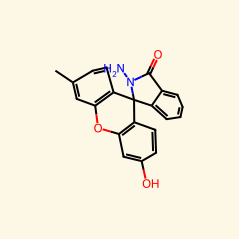 Cc1ccc2c(c1)Oc1cc(O)ccc1C21c2ccccc2C(=O)N1N